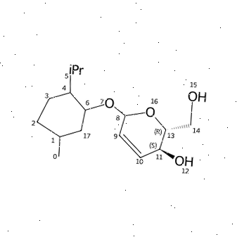 CC1CCC(C(C)C)C(OC2C=C[C@H](O)[C@@H](CO)O2)C1